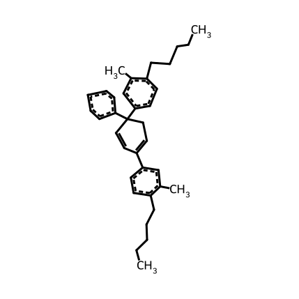 CCCCCc1ccc(C2=CCC(c3ccccc3)(c3ccc(CCCCC)c(C)c3)C=C2)cc1C